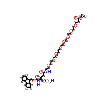 CC(C)(C)OC(=O)CCOCCOCCOCCOCCOCCOCCOCCOCCNC(=O)CC[C@H](NC(=O)OCC1c2ccccc2-c2ccccc21)C(=O)O